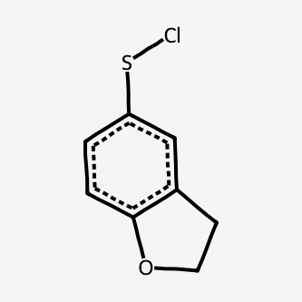 ClSc1ccc2c(c1)CCO2